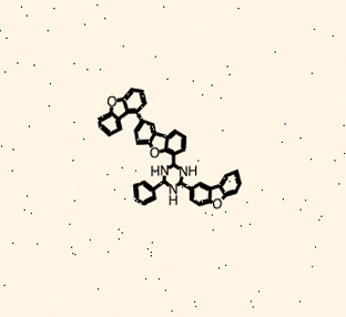 c1ccc(C2NC(c3ccc4oc5ccccc5c4c3)NC(c3cccc4c3oc3ccc(-c5cccc6oc7ccccc7c56)cc34)N2)cc1